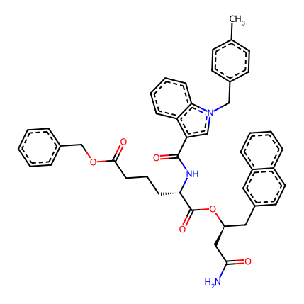 Cc1ccc(Cn2cc(C(=O)N[C@@H](CCCC(=O)OCc3ccccc3)C(=O)O[C@H](CC(N)=O)Cc3ccc4ccccc4c3)c3ccccc32)cc1